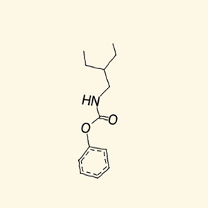 CCC(CC)CNC(=O)Oc1ccccc1